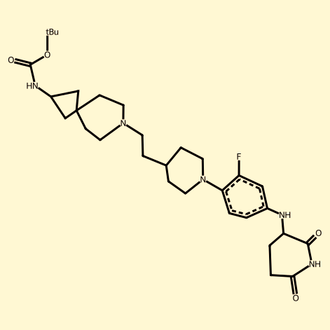 CC(C)(C)OC(=O)NC1CC2(CCN(CCC3CCN(c4ccc(NC5CCC(=O)NC5=O)cc4F)CC3)CC2)C1